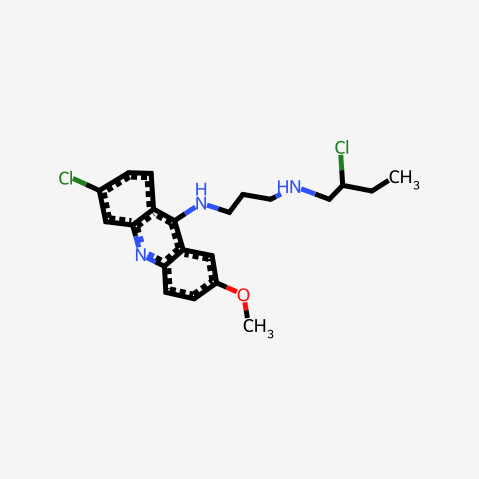 CCC(Cl)CNCCCNc1c2ccc(Cl)cc2nc2ccc(OC)cc12